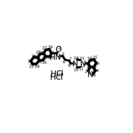 Cl.Cl.O=C(NCCCCN1CCN(c2cccc3ccncc23)CC1)c1ccc2cc3ccccc3cc2c1